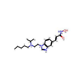 CCCCCN(CCn1cnc2cc(/C=C/C(=O)NO)ccc21)C(C)C